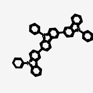 C1=CC(n2c3ccccc3c3cc(-c4ccc5c6cc(-c7ccc8c(c7)c7ccccc7n8-c7ccccc7)ccc6n(-c6ccccc6)c5c4)ccc32)=CCC1